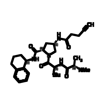 C#CCCC(=O)N[C@H]1C[C@@H](C(=O)N[C@@H]2CCCc3ccccc32)N(C(=O)[C@@H](NC(=O)[C@H](C)NC)C(C)(C)C)C1